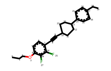 CCCOc1ccc(C#CC2CCC(c3ccc(CC)cc3)CC2)c(F)c1F